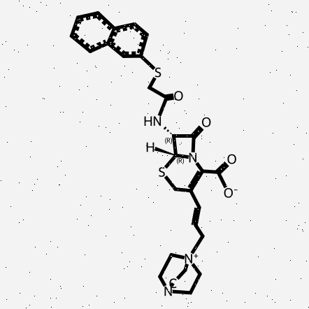 O=C(CSc1ccc2ccccc2c1)N[C@@H]1C(=O)N2C(C(=O)[O-])=C(C=CC[N+]34CCN(CC3)CC4)CS[C@H]12